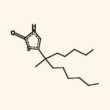 CCCCCCC(C)(CCCCC)c1c[nH]c(=O)s1